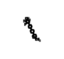 Cc1ccc(C2CCC(C3CCC(C4=COC(C)CC4)CC3)CC2)c(F)c1F